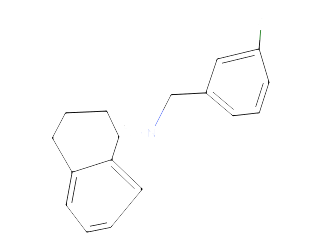 Clc1cccc(CN[C@H]2CCCc3ccccc32)c1